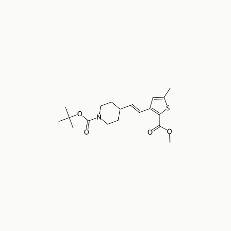 COC(=O)c1sc(C)cc1/C=C/C1CCN(C(=O)OC(C)(C)C)CC1